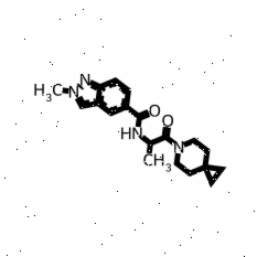 CC(NC(=O)c1ccc2nn(C)cc2c1)C(=O)N1CCC2(CC1)CC2